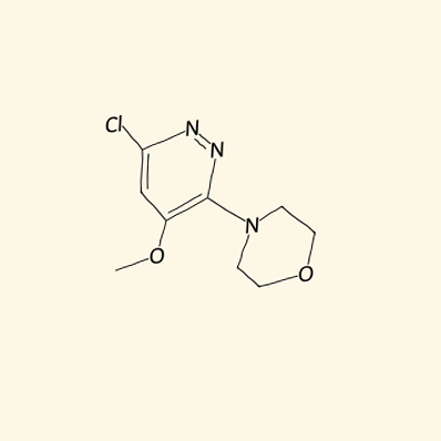 COc1cc(Cl)nnc1N1CCOCC1